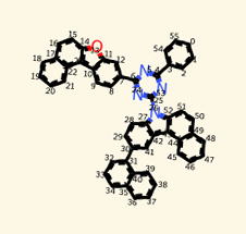 c1ccc(-c2nc(-c3ccc4c(c3)oc3ccc5ccccc5c34)nc(-n3c4ccc(-c5cccc6ccccc56)cc4c4c5ccccc5ccc43)n2)cc1